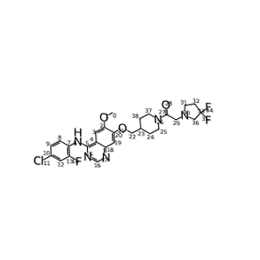 COc1cc2c(Nc3ccc(Cl)cc3F)ncnc2cc1OCC1CCN(C(=O)CN2CCC(F)(F)C2)CC1